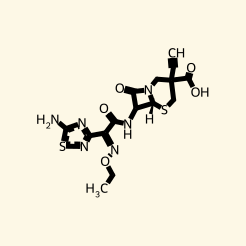 C#CC1(C(=O)O)CS[C@@H]2C(NC(=O)C(=NOCC)c3nsc(N)n3)C(=O)N2C1